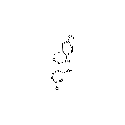 O=C(Nc1ccc(C(F)(F)F)cc1Br)c1ccc(Cl)cc1O